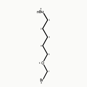 CCCCCCCCCOCBr